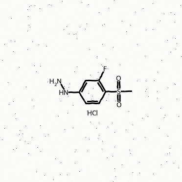 CS(=O)(=O)c1ccc(NN)cc1F.Cl